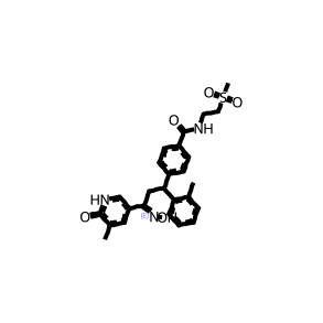 Cc1ccccc1C(C/C(=N\O)c1c[nH]c(=O)c(C)c1)c1ccc(C(=O)NCCS(C)(=O)=O)cc1